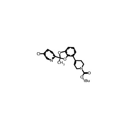 CC(C)(C)OC(=O)N1CC=C(c2cccc3c2O[C@](C)(c2ccc(Cl)cn2)O3)CC1